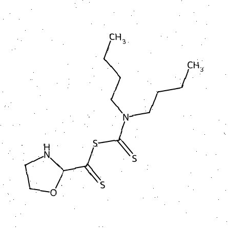 CCCCN(CCCC)C(=S)SC(=S)C1NCCO1